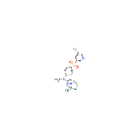 Cn1c2c(c3cc(S(=O)(=O)c4cncc(Cl)c4)ccc31)C1CCC(Cl)(C2)N1